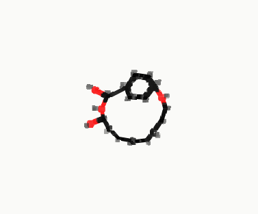 O=C1CCCCCCCOc2ccc(cc2)C(=O)O1